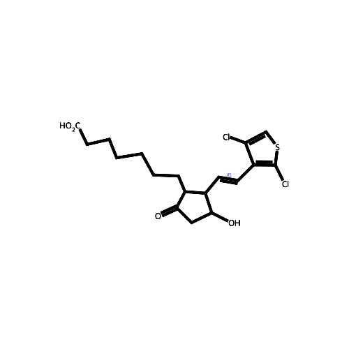 O=C(O)CCCCCCC1C(=O)CC(O)C1/C=C/c1c(Cl)csc1Cl